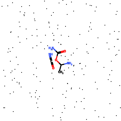 CC(N)OC(N)=O.N=C=O